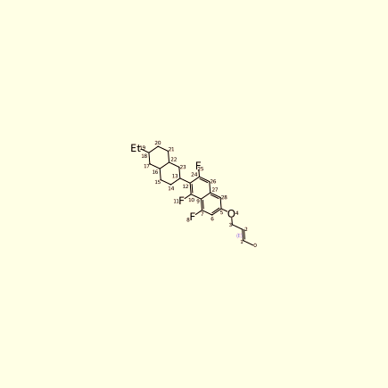 C/C=C/COc1cc(F)c2c(F)c(C3CCC4CC(CC)CCC4C3)c(F)cc2c1